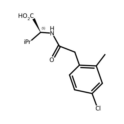 Cc1cc(Cl)ccc1CC(=O)N[C@H](C(=O)O)C(C)C